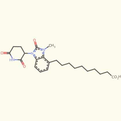 Cn1c(=O)n(C2CCC(=O)NC2=O)c2cccc(CCCCCCCCCC(=O)O)c21